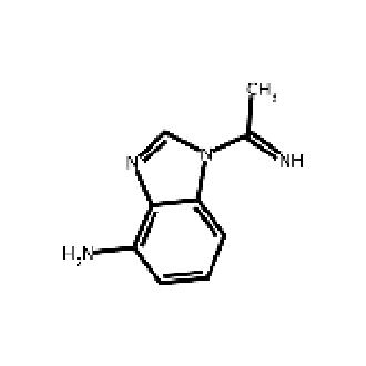 CC(=N)n1cnc2c(N)cccc21